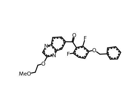 COCCOc1cnc2ccc(C(=O)c3c(F)ccc(OCc4ccccc4)c3F)cc2n1